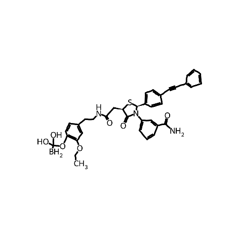 BC(O)(O)Oc1ccc(CCNC(=O)C[C@H]2S[C@@H](c3ccc(C#Cc4ccccc4)cc3)N(c3cccc(C(N)=O)c3)C2=O)cc1OCC